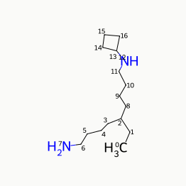 CCC(CCCCN)CCCCNC1CCC1